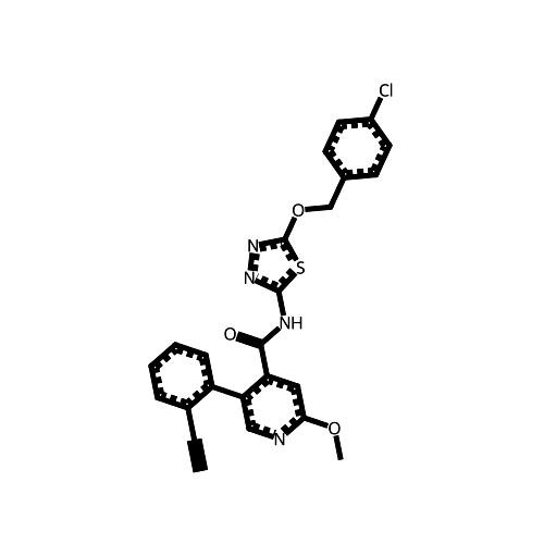 C#Cc1ccccc1-c1cnc(OC)cc1C(=O)Nc1nnc(OCc2ccc(Cl)cc2)s1